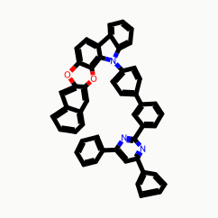 c1ccc(-c2cc(-c3ccccc3)nc(-c3cccc(-c4ccc(-n5c6ccccc6c6ccc7c(c65)Oc5cc6ccccc6cc5O7)cc4)c3)n2)cc1